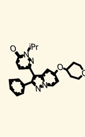 CC(C)n1nc(-c2c(-c3ccccc3)nn3ccc(OC4CCOCC4)cc23)ccc1=O